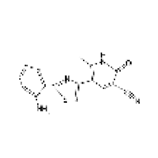 Cc1[nH]c(=O)c(C#N)cc1-c1csc(-c2ccccc2N)n1